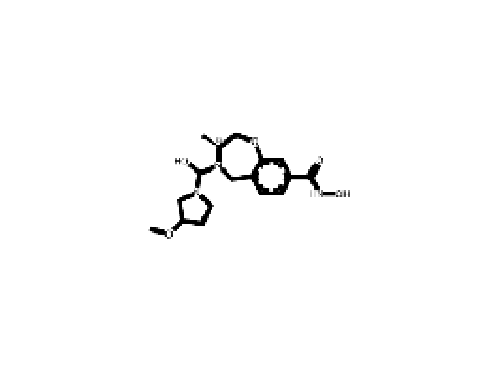 COC1CCN(C(O)N2Cc3ccc(C(=O)NO)cc3OC[C@@H]2C)C1